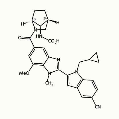 COc1cc(C(=O)N2C[C@H]3CC[C@H]2C3NC(=O)O)cc2nc(-c3cc4cc(C#N)ccc4n3CC3CC3)n(C)c12